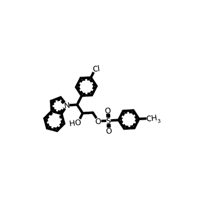 Cc1ccc(S(=O)(=O)OCC(O)C(c2ccc(Cl)cc2)n2ccc3ccccc32)cc1